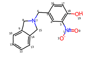 O=[N+]([O-])c1cc(CN2Cc3ccccc3C2)ccc1O